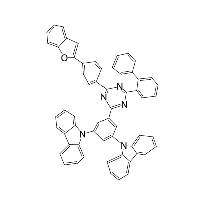 c1ccc(-c2ccccc2-c2nc(-c3ccc(-c4cc5ccccc5o4)cc3)nc(-c3cc(-n4c5ccccc5c5ccccc54)cc(-n4c5ccccc5c5ccccc54)c3)n2)cc1